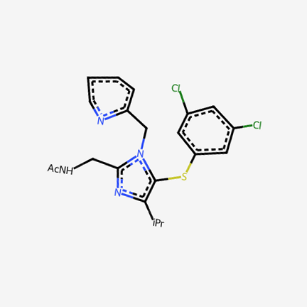 CC(=O)NCc1nc(C(C)C)c(Sc2cc(Cl)cc(Cl)c2)n1Cc1ccccn1